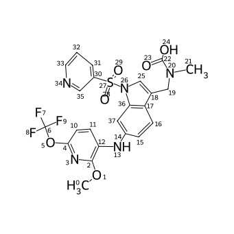 COc1nc(OC(F)(F)F)ccc1Nc1ccc2c(CN(C)C(=O)O)cn(S(=O)(=O)c3cccnc3)c2c1